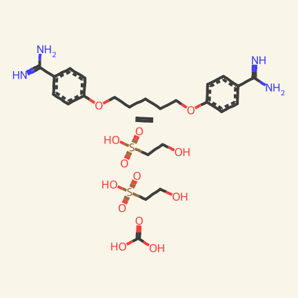 C=C.N=C(N)c1ccc(OCCCCCOc2ccc(C(=N)N)cc2)cc1.O=C(O)O.O=S(=O)(O)CCO.O=S(=O)(O)CCO